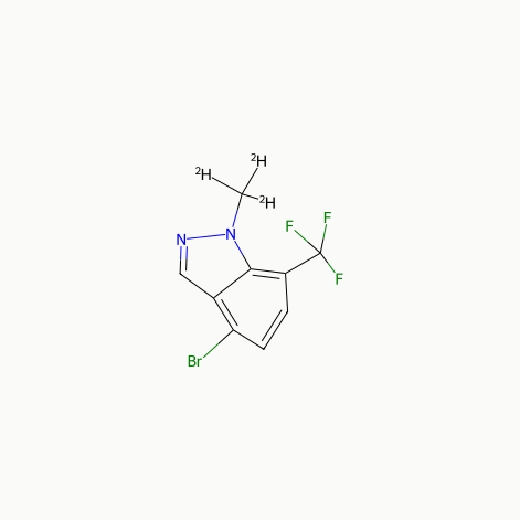 [2H]C([2H])([2H])n1ncc2c(Br)ccc(C(F)(F)F)c21